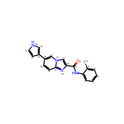 O=C(Nc1ccccc1F)c1cn2cc(-c3cc[nH]c3)ccc2n1